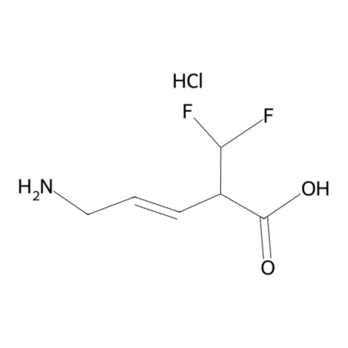 Cl.NC/C=C/C(C(=O)O)C(F)F